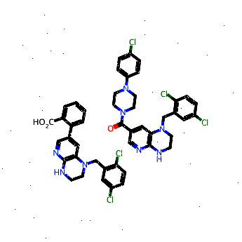 O=C(O)c1ccccc1-c1cnc2c(c1)N(Cc1cc(Cl)ccc1Cl)CCN2.O=C(c1cnc2c(c1)N(Cc1cc(Cl)ccc1Cl)CCN2)N1CCN(c2ccc(Cl)cc2)CC1